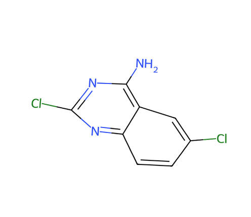 Nc1nc(Cl)nc2ccc(Cl)cc12